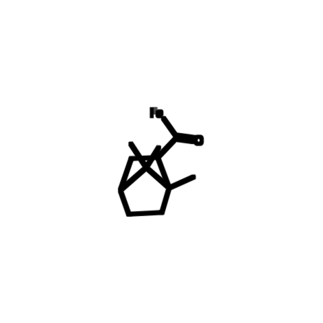 CC1(C)C2CCC1(C)C([C](=O)[Fe])C2